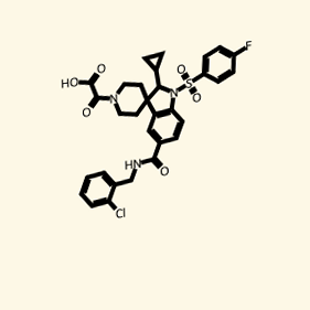 O=C(O)C(=O)N1CCC2(CC1)c1cc(C(=O)NCc3ccccc3Cl)ccc1N(S(=O)(=O)c1ccc(F)cc1)C2C1CC1